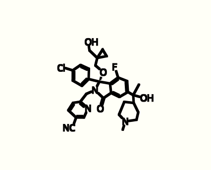 CN1CCC(C(C)(O)c2cc(F)c3c(c2)C(=O)N(Cc2ccc(C#N)cn2)[C@@]3(OCC2(CO)CC2)c2ccc(Cl)cc2)CC1